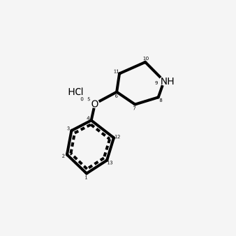 Cl.c1ccc(OC2CCNCC2)cc1